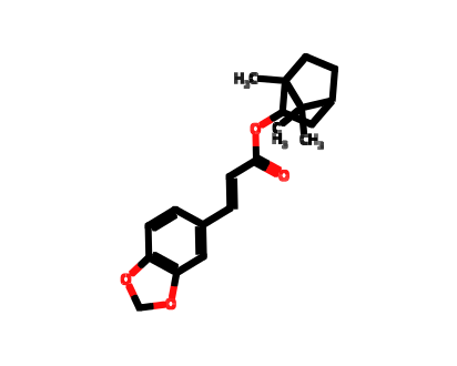 CC1(C)C2CCC1(C)C(OC(=O)/C=C/c1ccc3c(c1)OCO3)C2